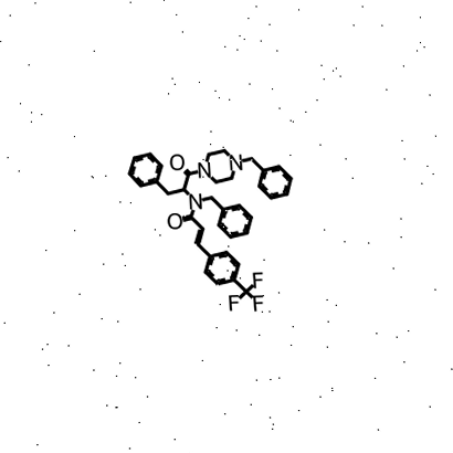 O=C(C(Cc1ccccc1)N(Cc1ccccc1)C(=O)C=Cc1ccc(C(F)(F)F)cc1)N1CCN(Cc2ccccc2)CC1